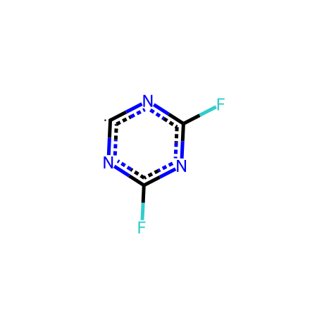 Fc1n[c]nc(F)n1